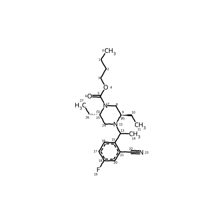 CCCCOC(=O)N1C[C@@H](CC)N(C(C)c2ccc(F)cc2C#N)C[C@@H]1CC